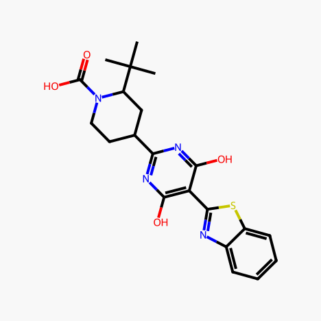 CC(C)(C)C1CC(c2nc(O)c(-c3nc4ccccc4s3)c(O)n2)CCN1C(=O)O